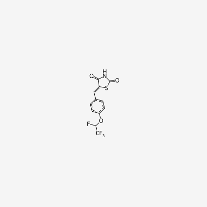 O=C1NC(=O)C(=Cc2ccc(OC(F)C(F)(F)F)cc2)S1